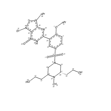 CCCOc1ccc(S(=O)(=O)N2CC(CCO)N(C)[C@@H](CCO)C2)cc1-c1nc2c(CCC)cn(CC)c2c(=O)[nH]1